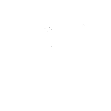 Cc1ccccc1Cc1cc2ccncc2c(N)n1